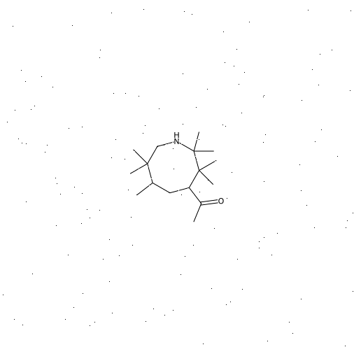 CC(=O)C1CC(C)C(C)(C)CNC(C)(C)C1(C)C